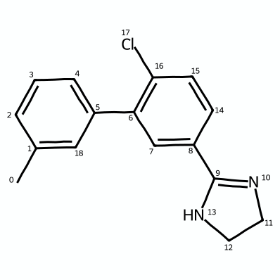 Cc1cccc(-c2cc(C3=NCCN3)ccc2Cl)c1